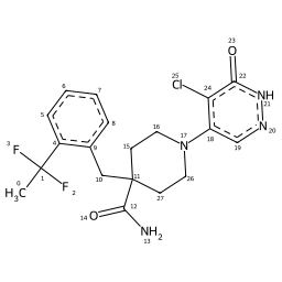 CC(F)(F)c1ccccc1CC1(C(N)=O)CCN(c2cn[nH]c(=O)c2Cl)CC1